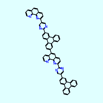 c1cnc2c(c1)ccc1ccc(-c3cnc(-c4ccc5c6ccc(-c7cc8ccc(-c9ncc(-c%10ccc%11c%12ccccc%12c%12ccccc%12c%11c%10)cn9)nc8c8ncccc78)cc6c6ccccc6c5c4)nc3)nc12